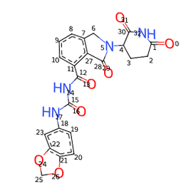 O=C1CCC(N2Cc3cccc(C(=O)NC(=O)Nc4ccc5c(c4)OCO5)c3C2=O)C(=O)N1